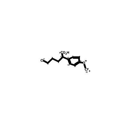 O=C(O)C(CCCCl)c1ccc(OC(F)(F)F)cc1